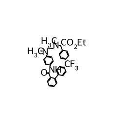 CCOC(=O)C(c1ccccc1)N(C)CCN(C)c1ccc(NC(=O)c2ccccc2-c2ccc(C(F)(F)F)cc2)cc1